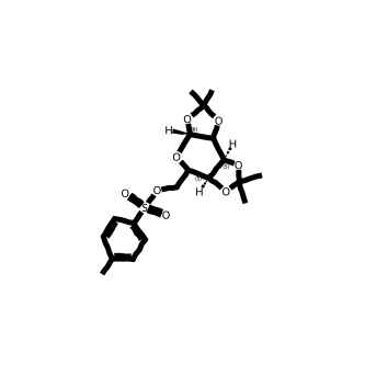 Cc1ccc(S(=O)(=O)OCC2O[C@@H]3OC(C)(C)OC3[C@H]3OC(C)(C)O[C@@H]23)cc1